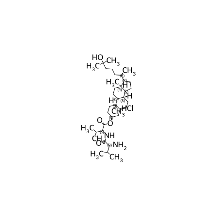 CC(C)[C@H](NC(=O)[C@H](N)C(C)C)C(=O)O[C@H]1CC[C@@]2(C)C(=CC[C@H]3[C@@H]4CC[C@H]([C@H](C)CCCC(C)(C)O)[C@@]4(C)CC[C@@H]32)C1.Cl